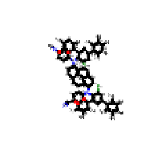 [2H]c1cc(-c2cc(-c3c([2H])c([2H])c([2H])c([2H])c3[2H])cc(F)c2N(c2ccc(C#N)cc2)c2ccc3ccc4c(N(c5ccc([N+]#[C-])cc5)c5c(F)cc(-c6c([2H])c([2H])c([2H])c([2H])c6[2H])cc5-c5c([2H])cc([2H])c([2H])c5[2H])ccc5ccc2c3c54)c([2H])c([2H])c1[2H]